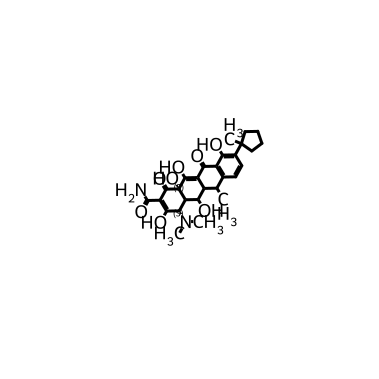 CC1c2ccc(C3(C)CCCC3)c(O)c2C(=O)C2=C(O)[C@]3(O)C(=O)C(C(N)=O)=C(O)[C@@H](N(C)C)C3C(O)C21